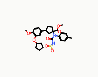 COC(=O)C1(N(C(=O)N=S(=O)=O)c2ccc(C)cc2)CCC(c2ccc(OC)c(OC3CCCC3)c2)C1